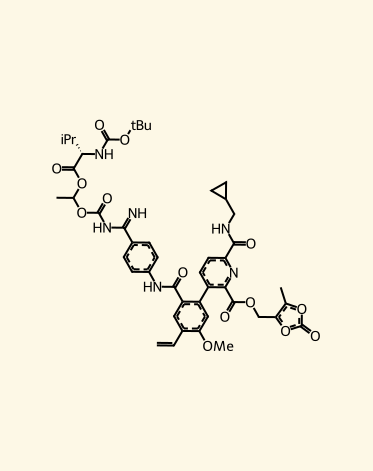 C=Cc1cc(C(=O)Nc2ccc(C(=N)NC(=O)OC(C)OC(=O)[C@@H](NC(=O)OC(C)(C)C)C(C)C)cc2)c(-c2ccc(C(=O)NCC3CC3)nc2C(=O)OCc2oc(=O)oc2C)cc1OC